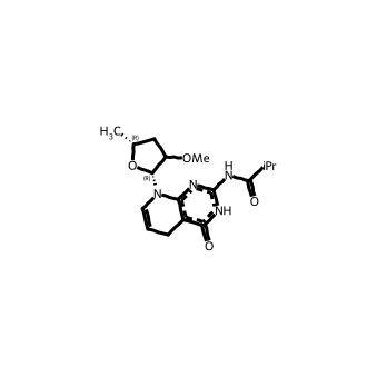 COC1C[C@@H](C)O[C@H]1N1C=CCc2c1nc(NC(=O)C(C)C)[nH]c2=O